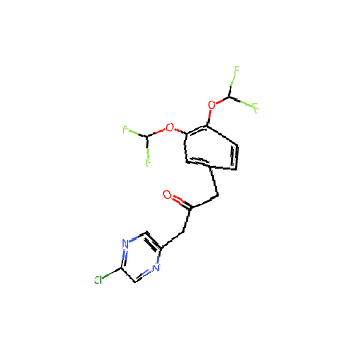 O=C(Cc1ccc(OC(F)F)c(OC(F)F)c1)Cc1cnc(Cl)cn1